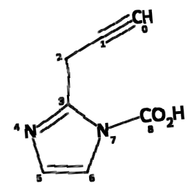 C#CCc1nccn1C(=O)O